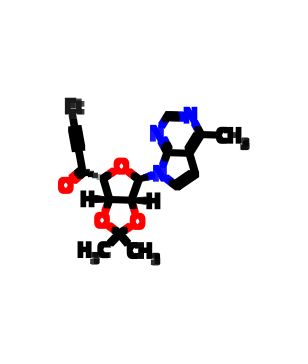 CCC#CC(=O)[C@@H]1O[C@@H](n2ccc3c(C)ncnc32)[C@@H]2OC(C)(C)O[C@@H]21